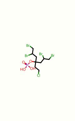 O=P(O)(O)OC(CCCl)(CC(Br)CBr)CC(Br)CBr